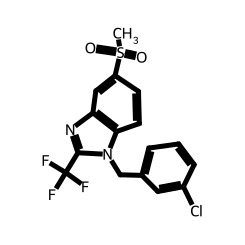 CS(=O)(=O)c1ccc2c(c1)nc(C(F)(F)F)n2Cc1cccc(Cl)c1